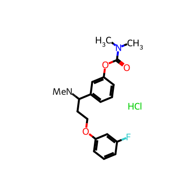 CNC(CCOc1cccc(F)c1)c1cccc(OC(=O)N(C)C)c1.Cl